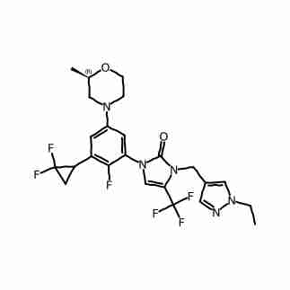 CCn1cc(Cn2c(C(F)(F)F)cn(-c3cc(N4CCO[C@H](C)C4)cc(C4CC4(F)F)c3F)c2=O)cn1